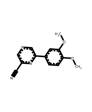 COc1ccc(-c2cncc(C#N)n2)cc1OC